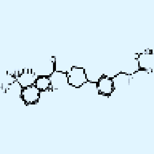 CC(C)(C)OC(=O)NCc1cccc(C2CCN(C(=O)c3cc4c([SH](C)(C)=O)cccc4[nH]3)CC2)c1